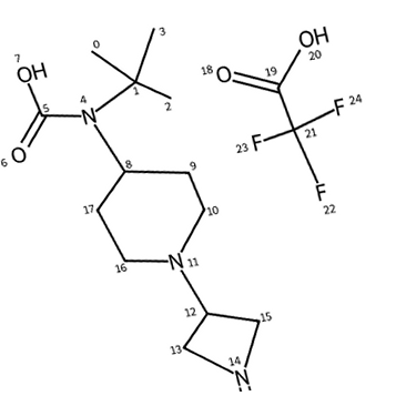 CC(C)(C)N(C(=O)O)C1CCN(C2CNC2)CC1.O=C(O)C(F)(F)F